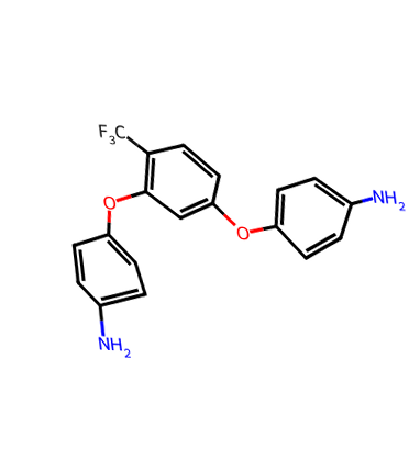 Nc1ccc(Oc2ccc(C(F)(F)F)c(Oc3ccc(N)cc3)c2)cc1